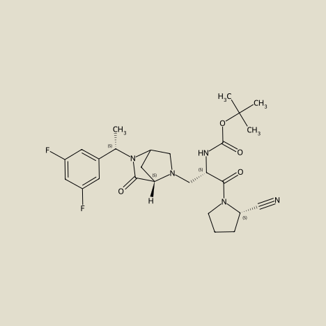 C[C@@H](c1cc(F)cc(F)c1)N1C(=O)[C@@H]2CC1CN2C[C@H](NC(=O)OC(C)(C)C)C(=O)N1CCC[C@H]1C#N